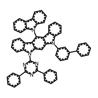 c1ccc(-c2cccc(-n3c4ccccc4c4c(-n5c6ccccc6c6ccccc65)c5c6ccccc6n(-c6nc(-c7ccccc7)nc(-c7ccccc7)n6)c5cc43)c2)cc1